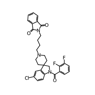 O=C1c2ccccc2C(=O)N1CCCCN1CCC2(CC1)CN(C(=O)c1cccc(F)c1F)c1ccc(Cl)cc12